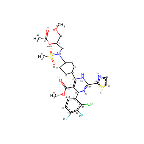 COCC(CN(C1CCC(C2=C(C(=O)OC)C(c3ccc(F)c(F)c3Cl)N=C(c3nccs3)N2)CC1)S(C)(=O)=O)OC(C)=O